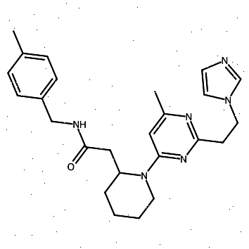 Cc1ccc(CNC(=O)CC2CCCCN2c2cc(C)nc(CCn3ccnc3)n2)cc1